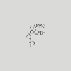 COC(=O)c1cc(Br)ccc1Oc1cccc(-c2cc(C)cc(C)c2)c1